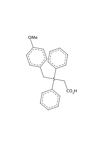 COc1ccc(CS(CC(=O)O)(c2ccccc2)c2ccccc2)cc1